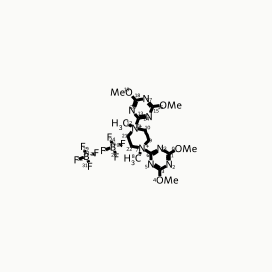 COc1nc(OC)nc([N+]2(C)CC[N+](C)(c3nc(OC)nc(OC)n3)CC2)n1.F[B-](F)(F)F.F[B-](F)(F)F